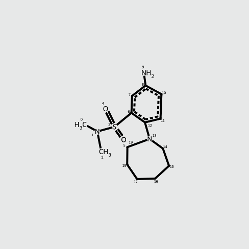 CN(C)S(=O)(=O)c1cc(N)ccc1N1CCCCCC1